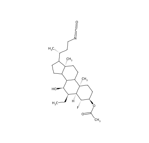 CC[C@@H]1[C@@H]2[C@@H](F)[C@H](OC(C)=O)CC[C@]2(C)C2CC[C@@]3(C)C(CCC3[C@H](C)CCN=C=O)C2[C@@H]1O